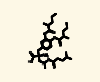 CCCC(C)C(=O)Oc1ccc(CC(N)(C[C@H](C)OC(=O)CCC(C)C)C(=O)O)cc1OC(=O)C(C)CCC